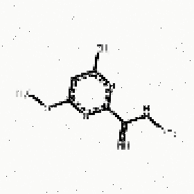 COc1cc(C)nc(C(=N)NN)n1